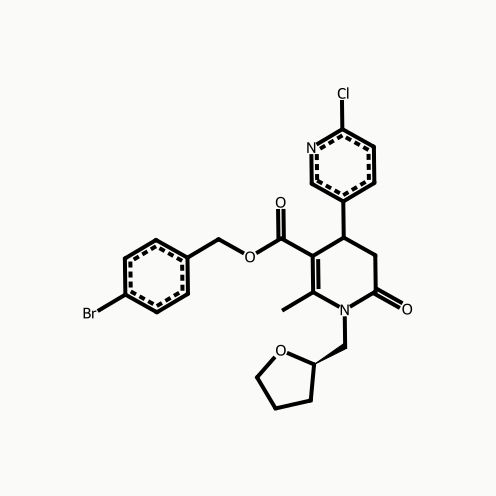 CC1=C(C(=O)OCc2ccc(Br)cc2)C(c2ccc(Cl)nc2)CC(=O)N1C[C@H]1CCCO1